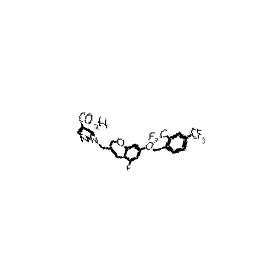 O=C(O)c1cnn(CC2=Cc3c(F)cc(OCc4ccc(C(F)(F)F)cc4C(F)(F)F)cc3OC2)c1